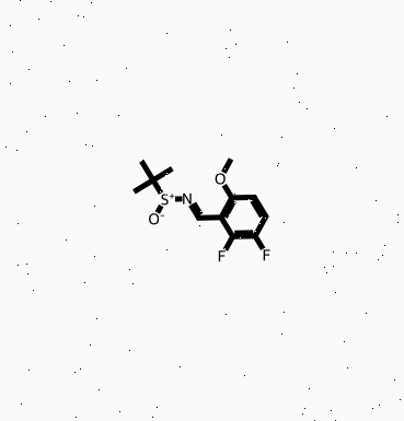 COc1ccc(F)c(F)c1/C=N/[S+]([O-])C(C)(C)C